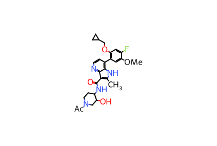 COc1cc(-c2ccnc3c(C(=O)NC4CCN(C(C)=O)CC4O)c(C)[nH]c23)c(OCC2CC2)cc1F